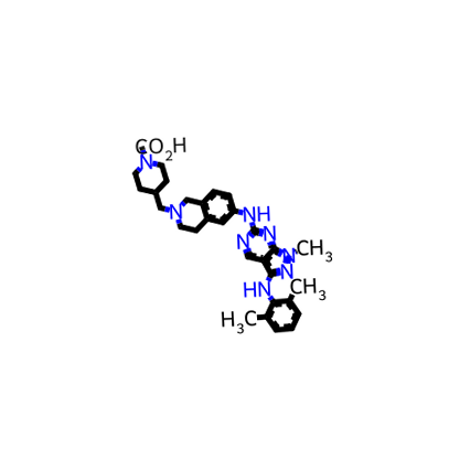 Cc1cccc(C)c1Nc1nn(C)c2nc(Nc3ccc4c(c3)CCN(CC3CCN(C(=O)O)CC3)C4)ncc12